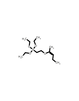 CCC=C(C)OCC[Si](OCC)(OCC)OCC